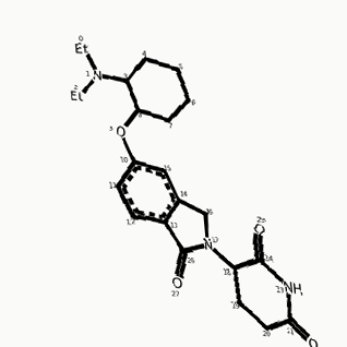 CCN(CC)C1CCCCC1Oc1ccc2c(c1)CN(C1CCC(=O)NC1=O)C2=O